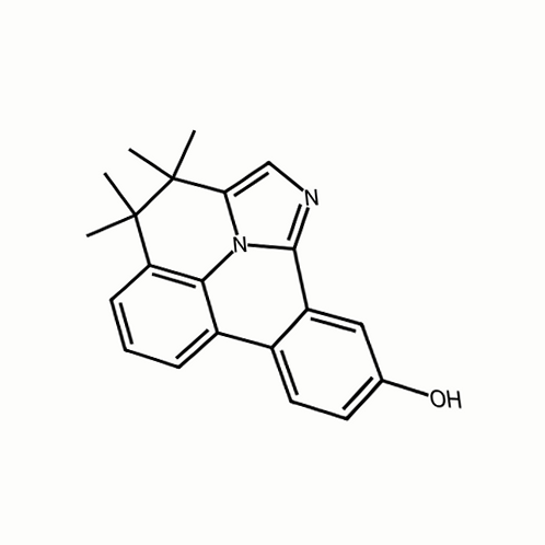 CC1(C)c2cccc3c4ccc(O)cc4c4ncc(n4c23)C1(C)C